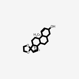 C[C@]12C=CC(O)CC1CCC1C2CC[C@@]2(C)C1C=CC21OCCO1